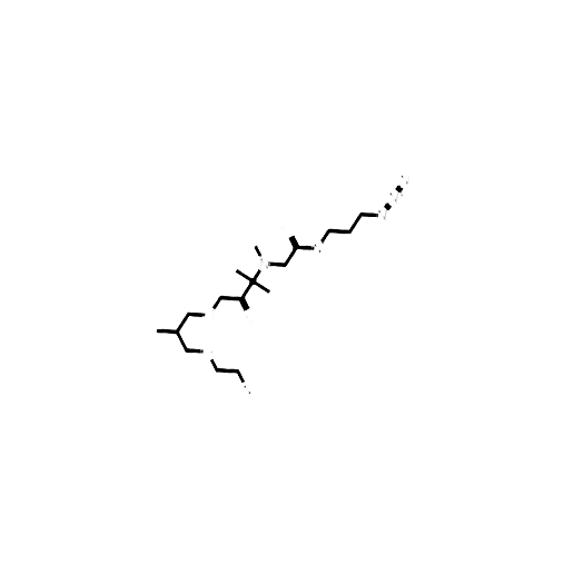 CC(COCCN)COCC(=O)C(C)(C)N(C)CC(=O)NCCCN=[N+]=[N-]